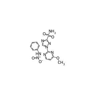 COc1ccnc(-n2cnc(S(N)(=O)=O)n2)n1.O=[N+]([O-])Nc1ccccc1